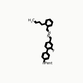 C=CCCc1ccccc1C=NN=Cc1ccc(-c2ccc(CCCCC)cc2)c(F)c1